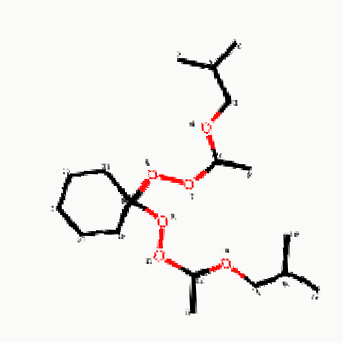 CC(C)COC(C)OOC1(OOC(C)OCC(C)C)CCCCC1